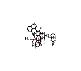 CC(C)[Si](C#Cc1cccc2cncc(-c3ncc4c(N5CC6CCC(C6)C5)nc(OCC56CCCN5C[C@@H](F)C6)nc4c3F)c12)(C(C)C)C(C)C